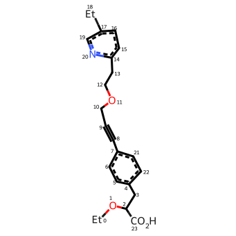 CCOC(Cc1ccc(C#CCOCCc2ccc(CC)cn2)cc1)C(=O)O